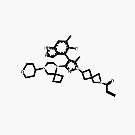 C=CC(=O)N1CC2(CC(n3nc(N4CCN(C5CCOCC5)CC45CCC5)c(-c4c(Cl)c(C)cc5[nH]ncc45)c3C)C2)C1